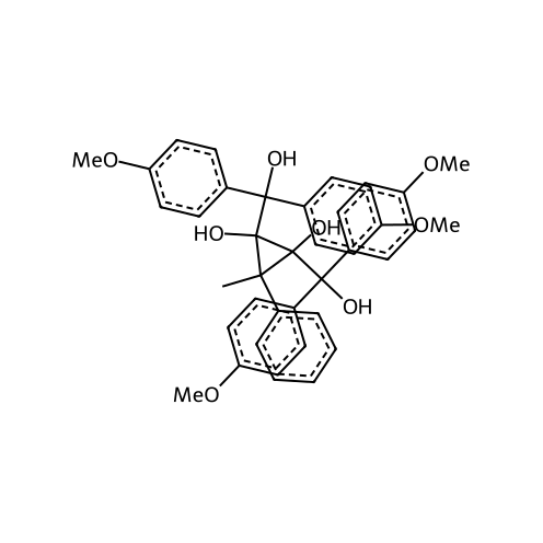 COc1ccc(C(O)(c2ccc(OC)cc2)C2(O)C(C)(c3ccccc3)C2(O)C(O)(c2ccc(OC)cc2)c2ccc(OC)cc2)cc1